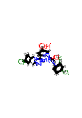 Cc1nnc([C@H]2C[C@@H](O)CN2C(=O)Nc2ccc(Cl)cc2F)n1Cc1ccc(Cl)cc1